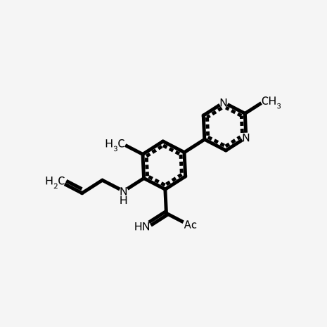 C=CCNc1c(C)cc(-c2cnc(C)nc2)cc1C(=N)C(C)=O